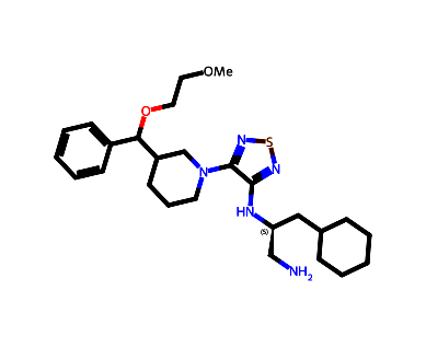 COCCOC(c1ccccc1)C1CCCN(c2nsnc2N[C@H](CN)CC2CCCCC2)C1